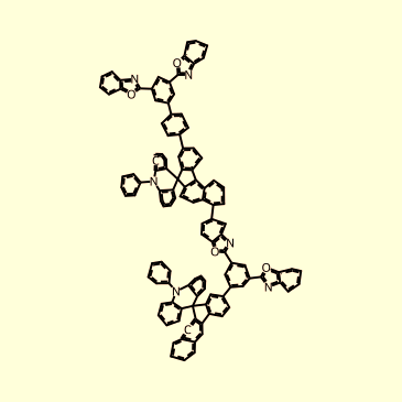 c1ccc(N2c3ccccc3C3(c4cc(-c5cc(-c6nc7ccccc7o6)cc(-c6nc7cc(-c8cccc9c%10c(ccc89)C8(c9cc(-c%11ccc(-c%12cc(-c%13nc%14ccccc%14o%13)cc(-c%13nc%14ccccc%14o%13)c%12)cc%11)ccc9-%10)c9ccccc9N(c9ccccc9)c9ccccc98)ccc7o6)c5)ccc4-c4cc5ccccc5cc43)c3ccccc32)cc1